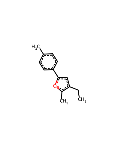 CCc1cc(-c2ccc(C)cc2)oc1C